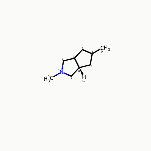 CC1CC2CN(C)C[C@H]2C1